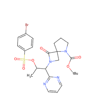 CC(OS(=O)(=O)c1ccc(Br)cc1)C(c1ncccn1)N1CC2(CCCN2C(=O)OC(C)(C)C)C1=O